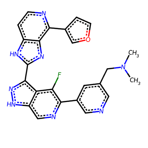 CN(C)Cc1cncc(-c2ncc3[nH]nc(-c4nc5c(-c6ccoc6)nccc5[nH]4)c3c2F)c1